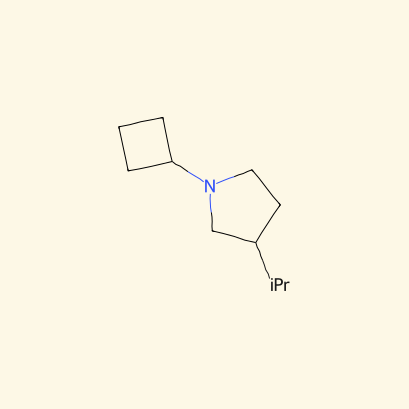 CC(C)C1CCN(C2CCC2)C1